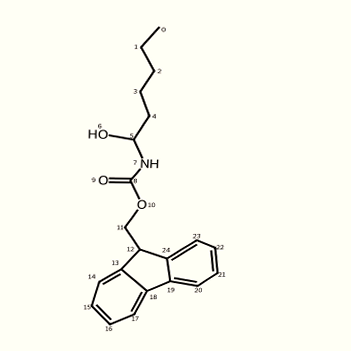 CCCCCC(O)NC(=O)OCC1c2ccccc2-c2ccccc21